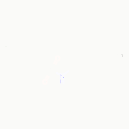 CC(C)Cc1ccc(NS(=O)(=O)c2ccc(F)cc2)cc1